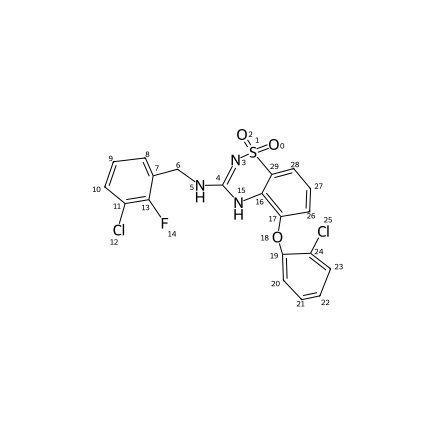 O=S1(=O)N=C(NCc2cccc(Cl)c2F)Nc2c(Oc3ccccc3Cl)cccc21